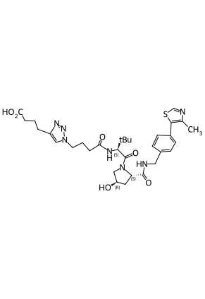 Cc1ncsc1-c1ccc(CNC(=O)[C@@H]2C[C@@H](O)CN2C(=O)[C@@H](NC(=O)CCCn2cc(CCCC(=O)O)nn2)C(C)(C)C)cc1